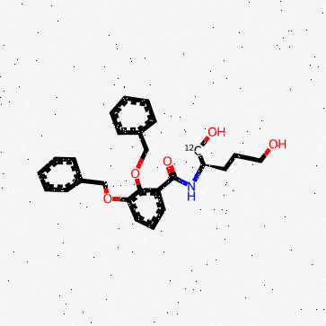 O=C(N[C@H](CCCO)[12CH2]O)c1cccc(OCc2ccccc2)c1OCc1ccccc1